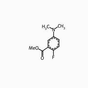 COC(=O)c1cc(N(C)C)ccc1F